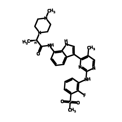 Cc1cnc(Nc2cccc(S(C)(=O)=O)c2F)nc1-c1c[nH]c2c(NC(=O)[C@@H](C)N3CCN(C)CC3)cccc12